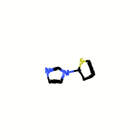 C1=CS[C](n2ccnc2)C1